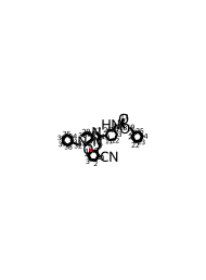 N#Cc1ccccc1Cn1c(C2CCCC(NC(=O)OCc3ccccc3)C2)nc2ccn(Cc3ccccc3)c(=O)c21